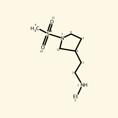 CCNCCC1CCN(S(C)(=O)=O)C1